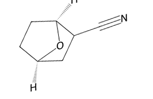 N#CC1C[C@H]2CC[C@@H]1O2